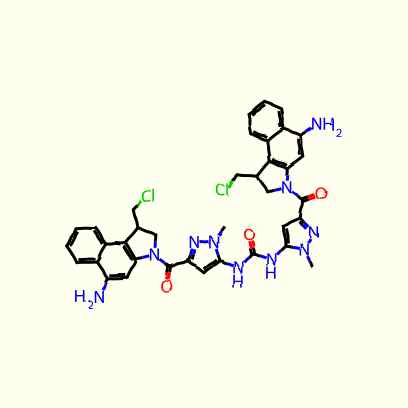 Cn1nc(C(=O)N2CC(CCl)c3c2cc(N)c2ccccc32)cc1NC(=O)Nc1cc(C(=O)N2CC(CCl)c3c2cc(N)c2ccccc32)nn1C